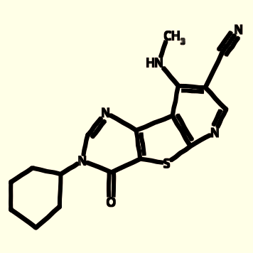 CNc1c(C#N)cnc2sc3c(=O)n(C4CCCCC4)cnc3c12